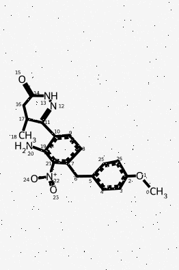 COc1ccc(Cc2ccc(C3=NNC(=O)CC3C)c(N)c2[N+](=O)[O-])cc1